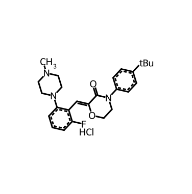 CN1CCN(c2cccc(F)c2/C=C2\OCCN(c3ccc(C(C)(C)C)cc3)C2=O)CC1.Cl